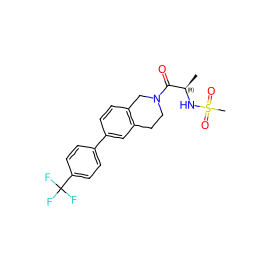 C[C@@H](NS(C)(=O)=O)C(=O)N1CCc2cc(-c3ccc(C(F)(F)F)cc3)ccc2C1